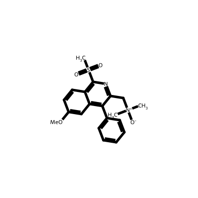 COc1ccc2c(S(C)(=O)=O)nc(C[N+](C)(C)[O-])c(-c3ccccc3)c2c1